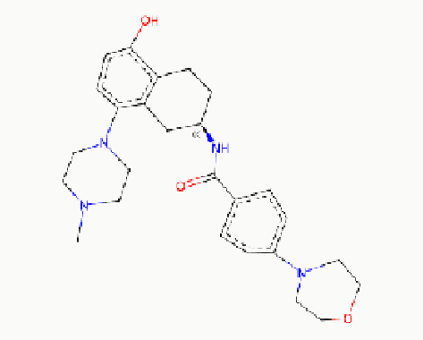 CN1CCN(c2ccc(O)c3c2C[C@H](NC(=O)c2ccc(N4CCOCC4)cc2)CC3)CC1